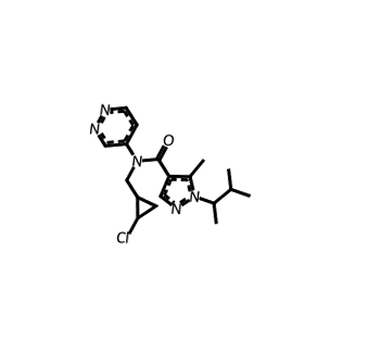 Cc1c(C(=O)N(CC2CC2Cl)c2ccnnc2)cnn1C(C)C(C)C